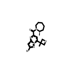 C[C@@H]1CCCCCN1C(=O)c1cc(C2(C)COC2)n2nc(Br)cc2n1